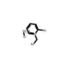 CC(=O)C[n+]1ccccc1C(C)=O.O=S(=O)([O-])O